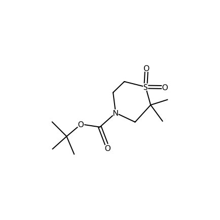 CC(C)(C)OC(=O)N1CCS(=O)(=O)C(C)(C)C1